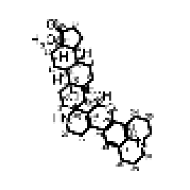 C[C@]12CC[C@]3(C[C@@H]1CC[C@@H]1[C@@H]2CC[C@]2(C)C(=O)CC[C@@H]12)NCCC1=C3C(O)Oc2c1cc1c3c2CCCN3CCC1